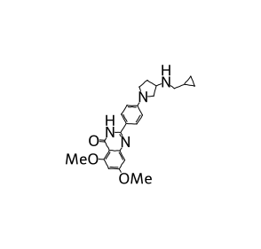 COc1cc(OC)c2c(=O)[nH]c(-c3ccc(N4CCC(NCC5CC5)C4)cc3)nc2c1